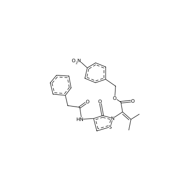 CC(C)=C(C(=O)OCc1ccc([N+](=O)[O-])cc1)n1scc(NC(=O)Cc2ccccc2)c1=O